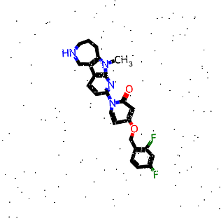 Cn1c2c(c3ccc(-n4ccc(OCc5ccc(F)cc5F)cc4=O)nc31)CNCCC2